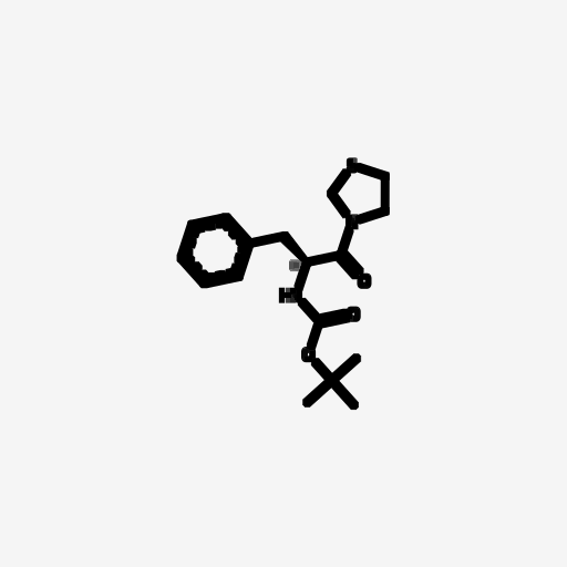 CC(C)(C)OC(=O)N[C@@H](Cc1ccccc1)C(=O)N1CCSC1